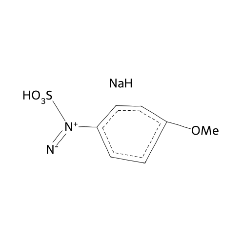 COc1ccc([N+](=[N-])S(=O)(=O)O)cc1.[NaH]